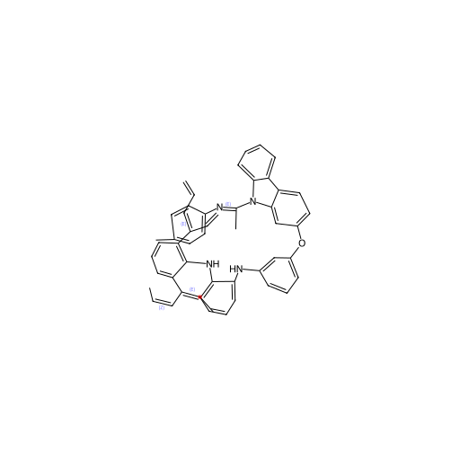 C=C/C=C(\C=C)c1cccc(C(/C=C\C)=C/C)c1Nc1ccccc1Nc1cccc(Oc2ccc3c4ccccc4n(/C(C)=N/c4ccc(C)cc4)c3c2)c1